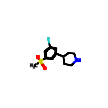 CS(=O)(=O)c1cc(F)cc(C2CCNCC2)c1